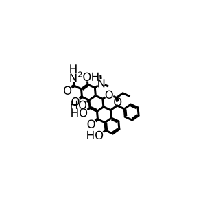 CCC(=O)OC1C2C(=C(O)C3(O)C(=O)C(C(N)=O)=C(O)C(N(C)C)C13)C(=O)c1c(O)cccc1C2Cc1ccccc1